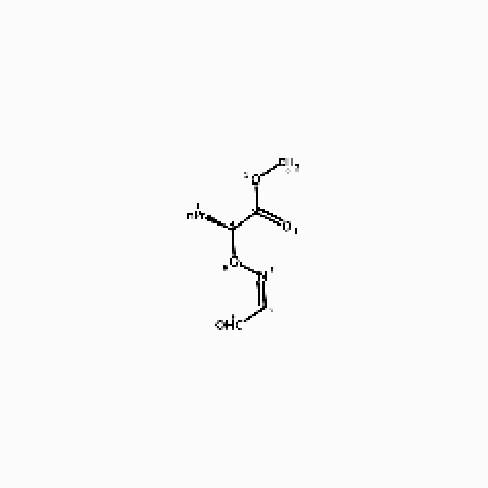 BOC(=O)[C@H](CCC)O/N=C\C=O